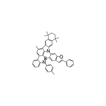 Cc1ccc(N2B3c4cc5cc(-c6ccccc6)oc5cc4-n4c5cc6c(cc5c5c(C)cc(c3c54)-c3ccccc32)C(C)(C)CCC6(C)C)cc1